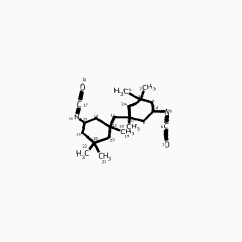 CC1(C)CC(N=C=O)CC(C)(CC2(C)CC(N=C=O)CC(C)(C)C2)C1